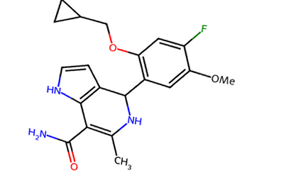 COc1cc(C2NC(C)=C(C(N)=O)c3[nH]ccc32)c(OCC2CC2)cc1F